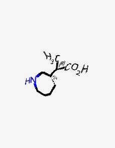 C[C@@H](C(=O)O)[C@@H]1CCCNC1